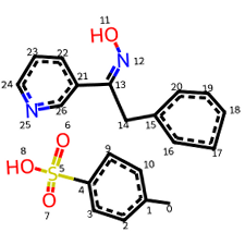 Cc1ccc(S(=O)(=O)O)cc1.ON=C(Cc1ccccc1)c1cccnc1